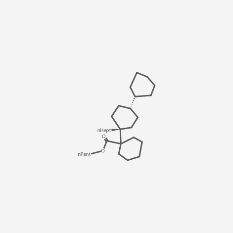 CCCCCCC[C@]1(C2(C(=O)OCCCCC)CCCCC2)CC[C@@H](C2CCCCC2)CC1